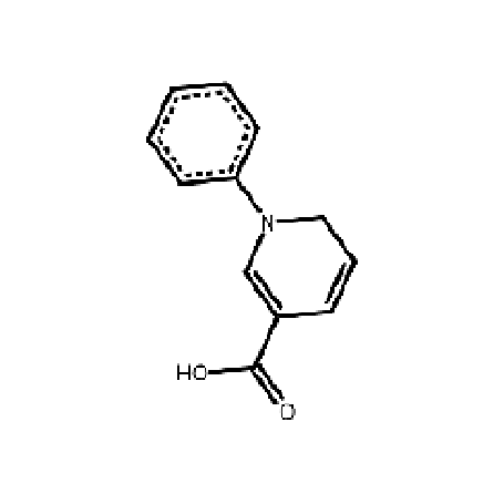 O=C(O)C1=CN(c2ccccc2)CC=C1